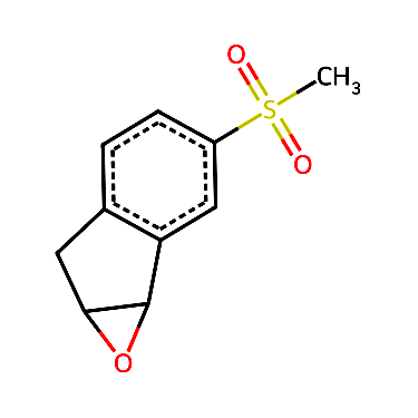 CS(=O)(=O)c1ccc2c(c1)C1OC1C2